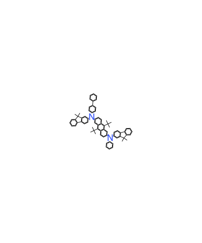 CC(C)(C)c1c2ccc(N(c3ccc(-c4ccccc4)cc3)c3ccc4c(c3)C(C)(C)c3ccccc3-4)cc2c(C(C)(C)C)c2ccc(N(c3ccccc3)c3ccc4c(c3)C(C)(C)c3ccccc3-4)cc12